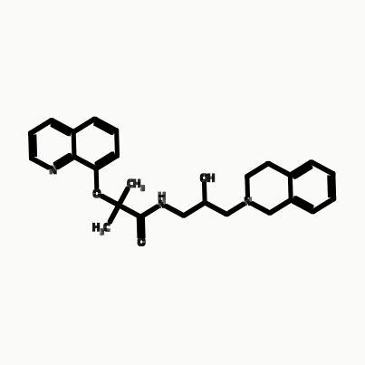 CC(C)(Oc1cccc2cccnc12)C(=O)NCC(O)CN1CCc2ccccc2C1